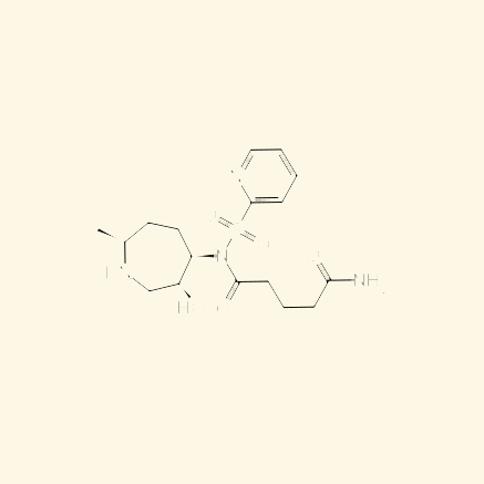 C[C@H](C[CH]C(=O)N([C@@H]1CC[C@H](C)NC[C@@H]1O)S(=O)(=O)c1ccccn1)C(N)=O